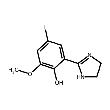 COc1cc(I)cc(C2=NCCN2)c1O